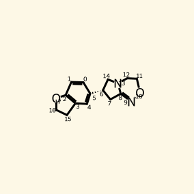 c1cc2c(cc1[C@H]1CC3=NOCCN3C1)CCO2